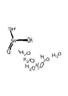 O.O.O.O.O.O.[O]=[Sn]([OH])[OH]